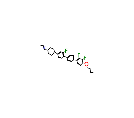 C/C=C/C1CCC(c2ccc(-c3ccc(-c4ccc(OCCCC)c(F)c4F)cc3)c(F)c2)CC1